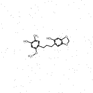 COc1cc(O)c(C)cc1CCCc1cc2c(cc1O)OCO2